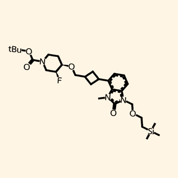 Cn1c(=O)n(COCC[Si](C)(C)C)c2cccc(C3CC(CO[C@@H]4CCN(C(=O)OC(C)(C)C)C[C@@H]4F)C3)c21